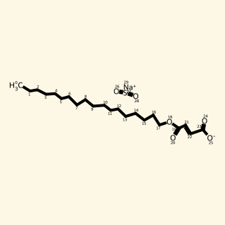 CCCCCCCCCCCCCCCCCCOC(=O)/C=C/C(=O)[O-].O=[Si]=O.[Na+]